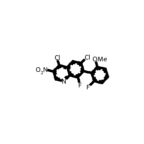 COc1cccc(F)c1-c1c(Cl)cc2c(Cl)c([N+](=O)[O-])cnc2c1F